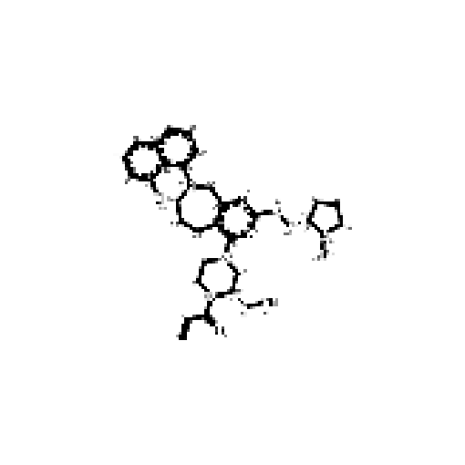 C=CC(=O)N1CCN(c2nc(OC[C@@H]3CCCN3C(C)C)nc3c2CCCN(c2cccc4cccc(Cl)c24)C3)C[C@@H]1CC#N